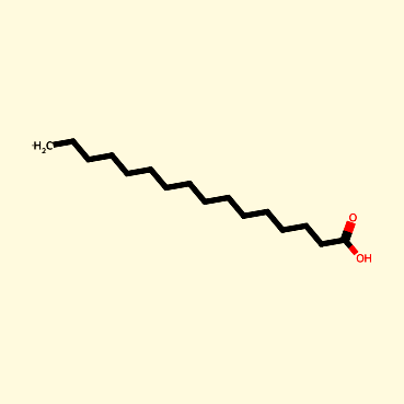 [CH2]CCCCCCCCCCCCCCC(=O)O